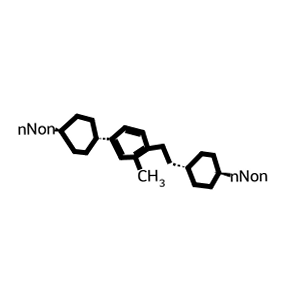 CCCCCCCCC[C@H]1CC[C@H](CCc2ccc([C@H]3CC[C@H](CCCCCCCCC)CC3)cc2C)CC1